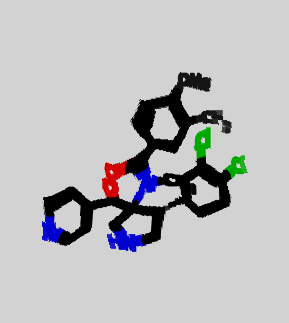 COc1ccc(C(=O)N(C)[C@]2(C(=O)c3ccncc3)CNC[C@H]2c2ccc(Cl)c(Cl)c2)cc1C(F)(F)F